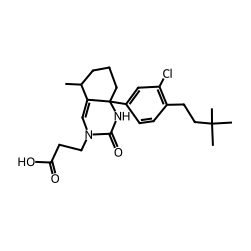 CC1CCCC2(c3ccc(CCC(C)(C)C)c(Cl)c3)NC(=O)N(CCC(=O)O)C=C12